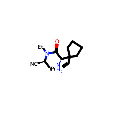 C=CC1([C@H](N)C(=O)N(CC)[C@H](C#N)C(C)C)CCCC1